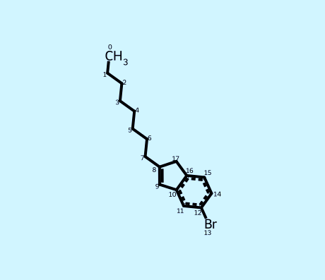 CCCCCCCCC1=Cc2cc(Br)ccc2C1